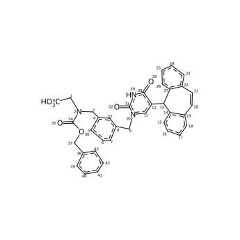 O=C(O)CN(Cc1cccc(Cn2cc(C3c4ccccc4C=Cc4ccccc43)c(=O)[nH]c2=O)c1)C(=O)OCc1ccccc1